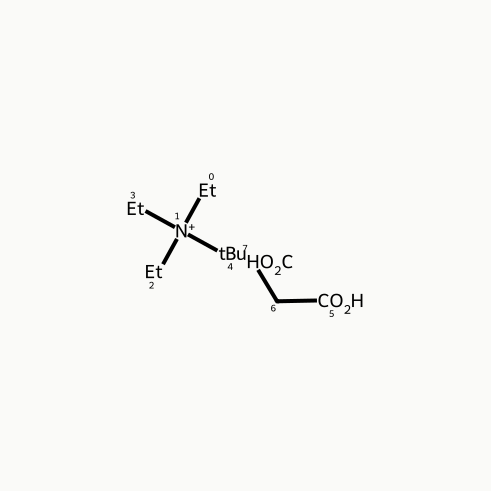 CC[N+](CC)(CC)C(C)(C)C.O=C(O)CC(=O)O